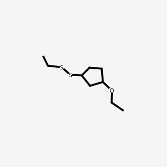 CCOC1CCC(SSCC)C1